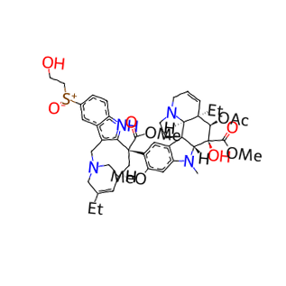 CCC1=C[C@H]2CN(C1)Cc1c([nH]c3ccc([S+]([O-])CCO)cc13)[C@@](C(=O)OC)(c1cc3c(cc1OC)N(C)[C@H]1[C@@](O)(C(=O)OC)[C@H](OC(C)=O)[C@]4(CC)C=CCN5CC[C@]31[C@@H]54)C2